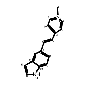 C[n+]1ccc(C=Cc2ccc3[nH]ccc3c2)cc1